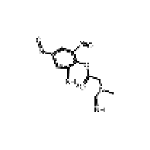 CN(C=N)CC(=O)Oc1c(N)cc(N=O)cc1N=O